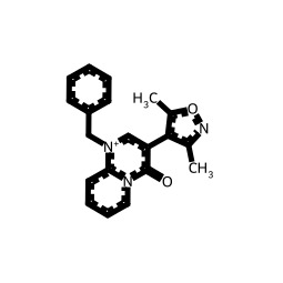 Cc1noc(C)c1-c1c[n+](Cc2ccccc2)c2ccccn2c1=O